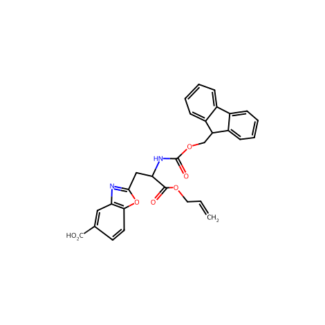 C=CCOC(=O)C(Cc1nc2cc(C(=O)O)ccc2o1)NC(=O)OCC1c2ccccc2-c2ccccc21